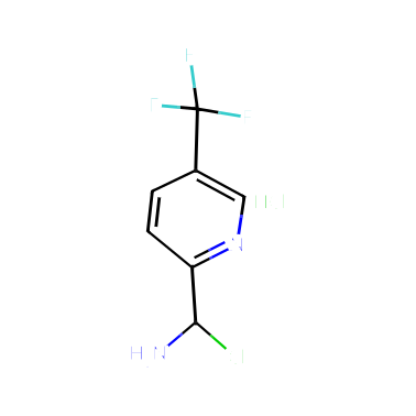 Cl.NC(Cl)c1ccc(C(F)(F)F)cn1